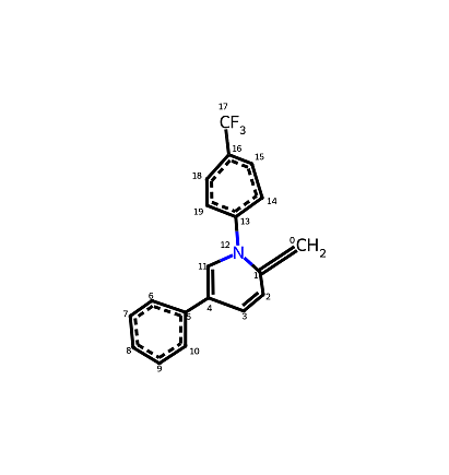 C=C1C=CC(c2ccccc2)=CN1c1ccc(C(F)(F)F)cc1